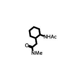 CNC(=O)CC1CCCCC1NC(C)=O